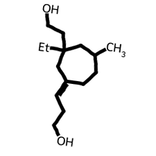 CCC1(CCO)C/C(=C/CCO)CCC(C)C1